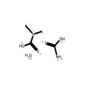 CN(C)C(O)=S.NC(O)=S.O